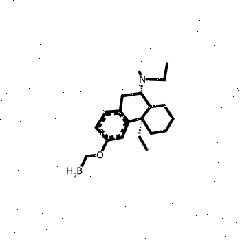 BCOc1ccc2c(c1)[C@]1(CC)CCCCC1[C@@H](N(C)CC)C2